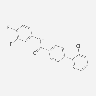 O=C(Nc1ccc(F)c(F)c1)c1ccc(-c2ncccc2Cl)cc1